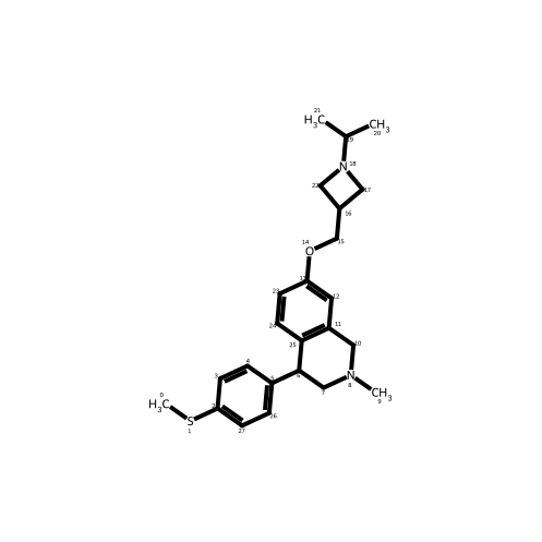 CSc1ccc(C2CN(C)Cc3cc(OCC4CN(C(C)C)C4)ccc32)cc1